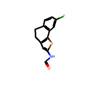 O=CNc1cc2c(s1)-c1cc(F)ccc1CC2